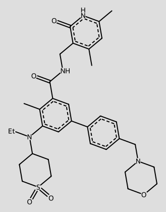 CCN(c1cc(-c2ccc(CN3CCOCC3)cc2)cc(C(=O)NCc2c(C)cc(C)[nH]c2=O)c1C)C1CCS(=O)(=O)CC1